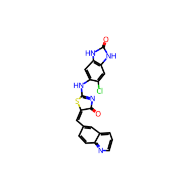 O=C1N=C(Nc2cc3[nH]c(=O)[nH]c3cc2Cl)SC1=Cc1ccc2ncccc2c1